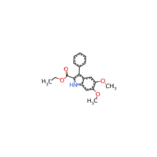 CCOC(=O)c1[nH]c2cc(OC)c(OC)cc2c1-c1ccccc1